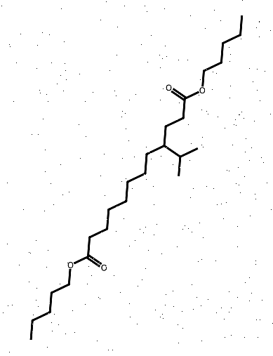 CCCCCOC(=O)CCCCCCCC(CCC(=O)OCCCCC)C(C)C